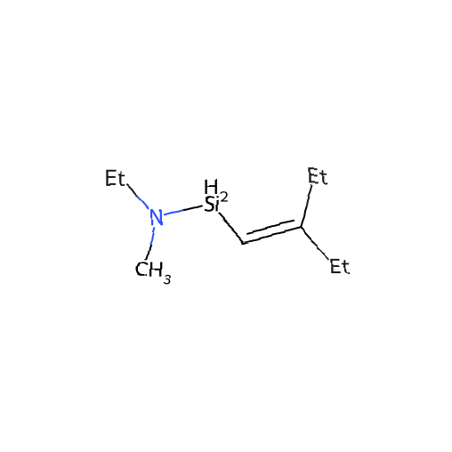 CCC(=C[SiH2]N(C)CC)CC